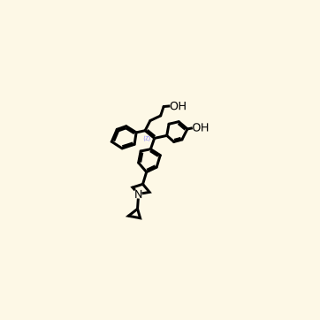 OCCC/C(C1=C=C=CC=C1)=C(/c1ccc(C2CN(C3CC3)C2)cc1)C1C=CC(O)=CC1